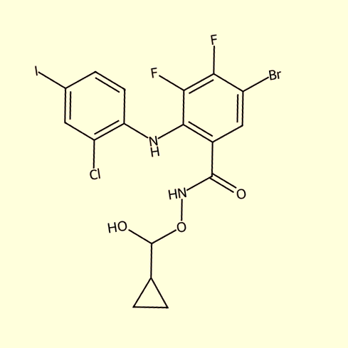 O=C(NOC(O)C1CC1)c1cc(Br)c(F)c(F)c1Nc1ccc(I)cc1Cl